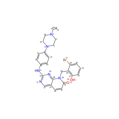 CN1CCN(c2ccc(Nc3ncc4ccc(=O)n(Cc5c(O)cccc5Br)c4n3)cc2)CC1